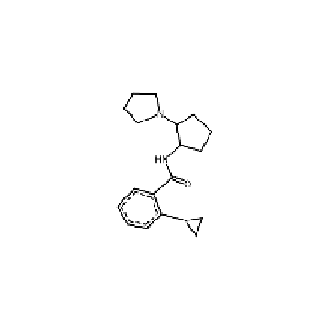 O=C(NC1CCCC1N1CCCC1)c1ccccc1C1CC1